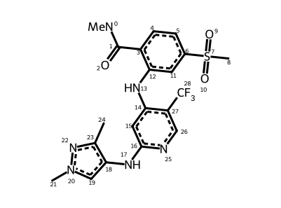 CNC(=O)c1ccc(S(C)(=O)=O)cc1Nc1cc(Nc2cn(C)nc2C)ncc1C(F)(F)F